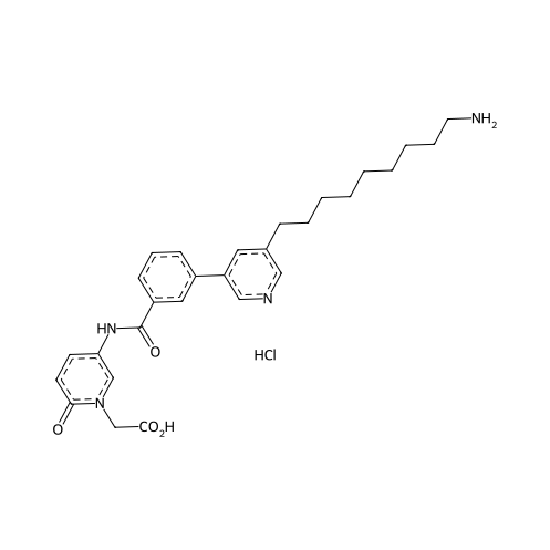 Cl.NCCCCCCCCCc1cncc(-c2cccc(C(=O)Nc3ccc(=O)n(CC(=O)O)c3)c2)c1